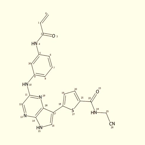 C=CC(=O)Nc1cccc(Nc2cnc3[nH]cc(-c4ccc(C(=O)NCC#N)s4)c3n2)c1